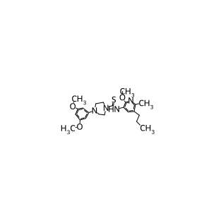 CCCc1cc(NC(=S)N2CCN(c3cc(OC)cc(OC)c3)CC2)c(OC)nc1C